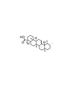 C[C@H]1[C@H](C)CC[C@]2(C)CC[C@]3(C)C(=CC[C@@H]4[C@@]5(C)CCC[C@@](C)(C(=O)O)[C@@H]5CC[C@]43C)[C@H]12